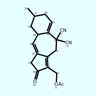 CC(=O)OCC1=C2CC(C#N)(C#N)C3=CCC(C)CC3C=C2CC1=O